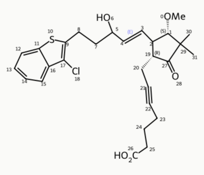 CO[C@H]1C(/C=C/C(O)CCc2sc3ccccc3c2Cl)[C@@H](CC#CCCCC(=O)O)C(=O)C1(C)C